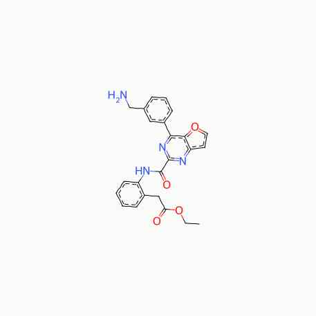 CCOC(=O)Cc1ccccc1NC(=O)c1nc(-c2cccc(CN)c2)c2occc2n1